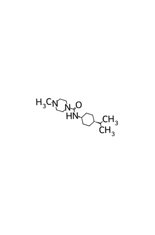 CC(C)[C@H]1CC[C@@H](NC(=O)N2CCN(C)CC2)CC1